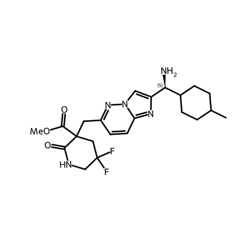 COC(=O)C1(Cc2ccc3nc([C@@H](N)C4CCC(C)CC4)cn3n2)CC(F)(F)CNC1=O